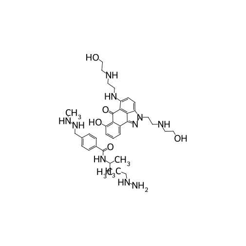 CCNN.CNNCc1ccc(C(=O)NC(C)C)cc1.O=C1c2c(O)cccc2-c2nn(CCNCCO)c3ccc(NCCNCCO)c1c23